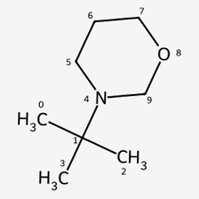 CC(C)(C)N1CCCOC1